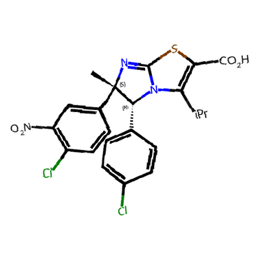 CC(C)C1=C(C(=O)O)SC2=N[C@@](C)(c3ccc(Cl)c([N+](=O)[O-])c3)[C@@H](c3ccc(Cl)cc3)N21